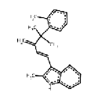 C=C(/C=C/c1c(C)[nH]c2ccccc12)C(C)(C)c1ccccc1C